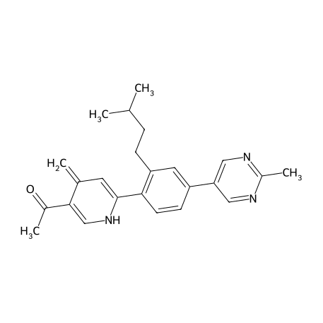 C=C1C=C(c2ccc(-c3cnc(C)nc3)cc2CCC(C)C)NC=C1C(C)=O